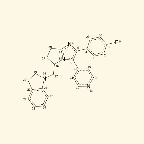 Fc1ccc(-c2nc3n(c2-c2ccncc2)C(CN2CCc4ccccc42)CC3)cc1